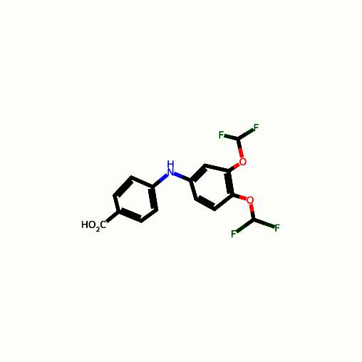 O=C(O)c1ccc(Nc2ccc(OC(F)F)c(OC(F)F)c2)cc1